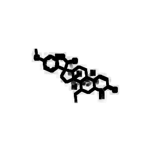 CCC1CC2NC(=O)C=C[C@]2(C)[C@@H]2CC[C@@]3(C)[C@@H](CCC3(C(=O)O)c3ccc(OC)cc3)[C@H]12